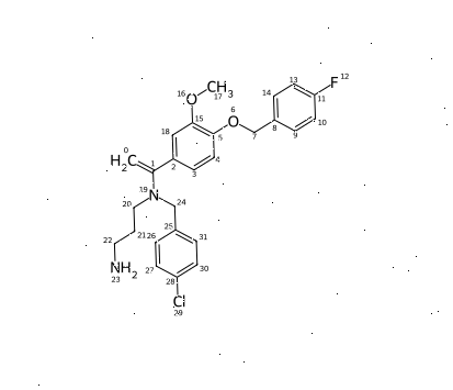 C=C(c1ccc(OCc2ccc(F)cc2)c(OC)c1)N(CCCN)Cc1ccc(Cl)cc1